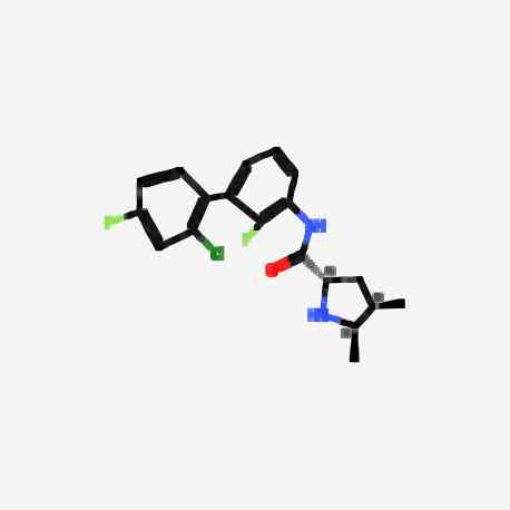 C[C@@H]1C[C@@H](C(=O)Nc2cccc(-c3ccc(F)cc3Cl)c2F)N[C@@H]1C